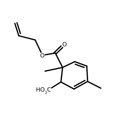 C=CCOC(=O)C1(C)C=CC(C)=CC1C(=O)O